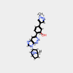 Cn1cc(-c2ccc(-c3cc4ncn([C@H]5CC6CC[C@H](C5)N6)c4nn3)c(O)c2)cn1